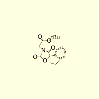 CC(C)(C)OC(=O)CN1C(=O)OC2(CCc3ccccc32)C1=O